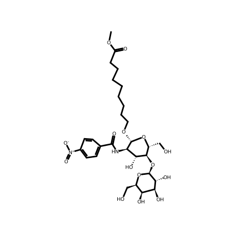 COC(=O)CCCCCCCCO[C@@H]1O[C@H](CO)[C@@H](O[C@@H]2O[C@H](CO)[C@H](O)[C@H](O)[C@H]2O)[C@H](O)[C@H]1NC(=O)c1ccc([N+](=O)[O-])cc1